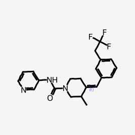 CC1CN(C(=O)Nc2cccnc2)CC/C1=C\c1cccc(CC(F)(F)F)c1